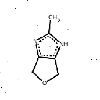 Cc1nc2c([nH]1)COC2